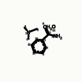 CN(C)C.NC(=O)c1ccccc1.O